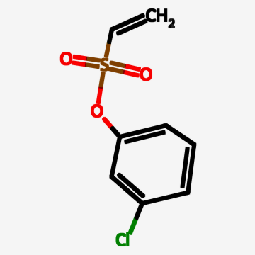 C=CS(=O)(=O)Oc1cccc(Cl)c1